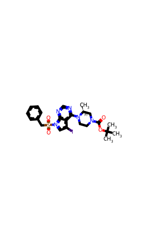 C[C@@H]1CN(C(=O)OC(C)(C)C)CCN1c1ncnc2c1c(I)cn2S(=O)(=O)Cc1ccccc1